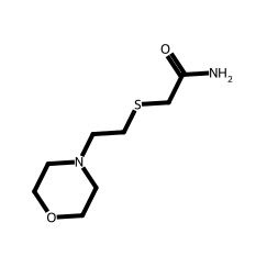 NC(=O)CSCCN1CCOCC1